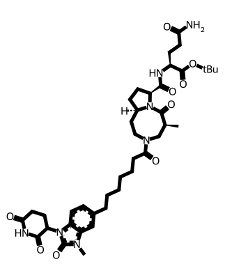 C[C@H]1CN(C(=O)CCCCCCc2ccc3c(c2)n(C)c(=O)n3C2CCC(=O)NC2=O)CC[C@H]2CC[C@@H](C(=O)N[C@@H](CCC(N)=O)C(=O)OC(C)(C)C)N2C1=O